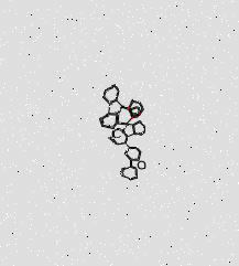 c1ccc(C23c4ccccc4-c4cccc(c42)C2(c4ccccc4-c4c(-c5ccc6oc7ccccc7c6c5)cccc42)c2ccccc23)cc1